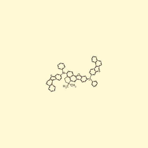 CC1(C)CCc2c(N(c3ccccc3)c3ccc4c(c3)sc3ccc5ccccc5c34)ccc3c2c1cc1c2ccc([C@H](c4ccccc4)c4ccc5c(c4)sc4ccc6ccccc6c45)cc2oc31